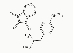 NC(Cc1ccc(O)cc1)C(=O)O.O.O=c1c(=O)c2ccccc2c1=O